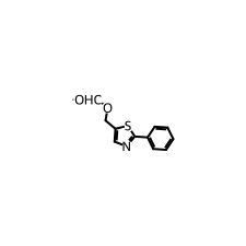 O=[C]OCc1cnc(-c2ccccc2)s1